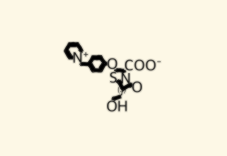 O=C([O-])C1C(Oc2ccc(C[n+]3ccccc3)cc2)SC2[C@@H](CCO)C(=O)N12